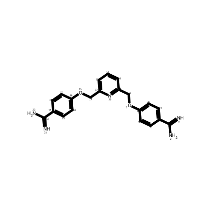 N=C(N)c1ccc(OCc2cccc(COc3ccc(C(=N)N)cc3)n2)cc1